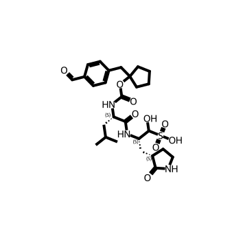 CC(C)C[C@H](NC(=O)OC1(Cc2ccc(C=O)cc2)CCCC1)C(=O)N[C@@H](C[C@@H]1CCNC1=O)C(O)S(=O)(=O)O